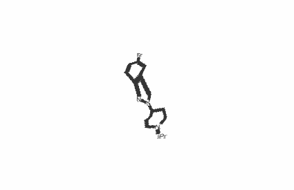 CC(C)N1CCC(n2cc3cc(Br)ccc3n2)CC1